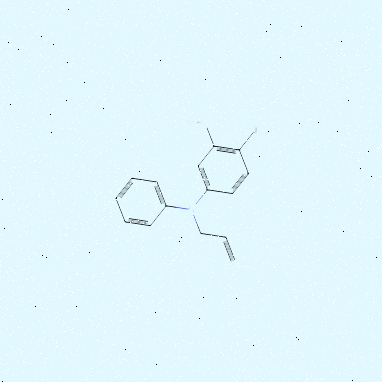 C=CCN(c1ccccc1)c1ccc(C(C)C)c(OC)c1